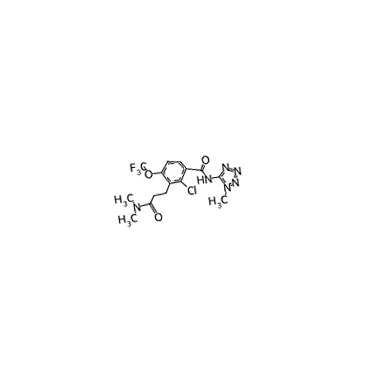 CN(C)C(=O)CCc1c(OC(F)(F)F)ccc(C(=O)Nc2nnnn2C)c1Cl